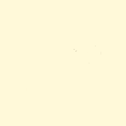 O=C([N]CCc1ccc(Cl)cc1)C(F)(F)F